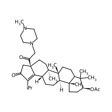 CC(=O)O[C@H]1CC[C@@]2(C)C(CC[C@]3(C)[C@@H]2CC[C@@H]2C4=C(C(C)C)C(=O)C[C@]4(C(=O)CN4CCN(C)CC4)CC[C@]23C)C1(C)C